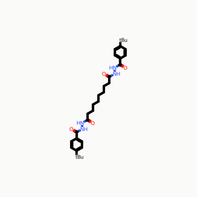 CC(C)(C)c1ccc(C(=O)NNC(=O)CCCCCCCCC(=O)NNC(=O)c2ccc(C(C)(C)C)cc2)cc1